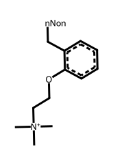 CCCCCCCCCCc1ccccc1OCC[N+](C)(C)C